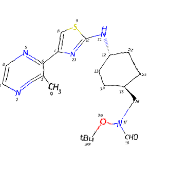 Cc1nccnc1-c1csc(N[C@H]2CC[C@H](CN(C=O)OC(C)(C)C)CC2)n1